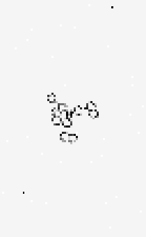 c1ccc(-c2ccc(N(c3ccc(-c4cccc5ccccc45)cc3)c3ccc(-c4cccc5ccccc45)cc3)c3c2sc2ccccc23)cc1